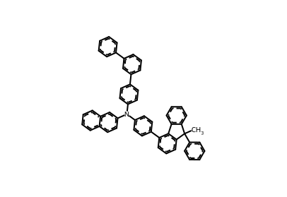 CC1(c2ccccc2)c2ccccc2-c2c(-c3ccc(N(c4ccc(-c5cccc(-c6ccccc6)c5)cc4)c4ccc5ccccc5c4)cc3)cccc21